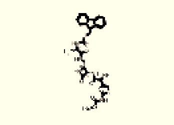 C[C@@H](NC(=O)OCC1c2ccccc2-c2ccccc21)C(=O)NC[C@H]1NC(=O)[C@H]1NC(=O)C(=N)c1csc(NC(=O)OC(C)(C)C)n1